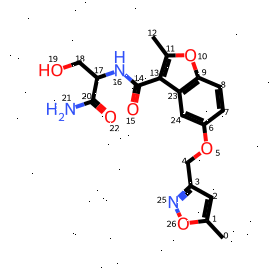 Cc1cc(COc2ccc3oc(C)c(C(=O)NC(CO)C(N)=O)c3c2)no1